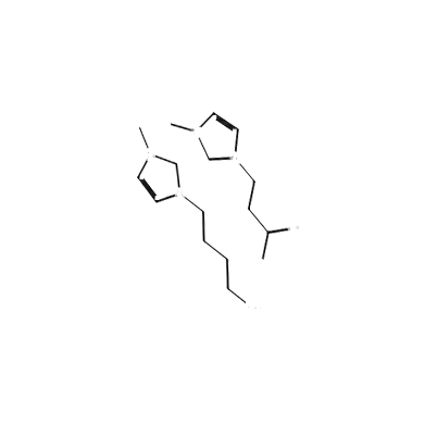 CC(O)CCN1C=CN(C)C1.CN1C=CN(CCCCO)C1